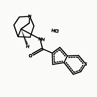 Cl.O=C(N[C@@H]1CN2CCC1CC2)c1cc2ccscc-2c1